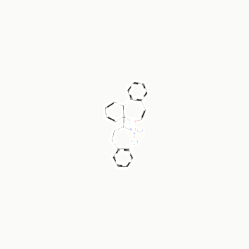 C1=CC2c3ccccc3C=COC2(C2CCc3ccccc3ON2)C=C1